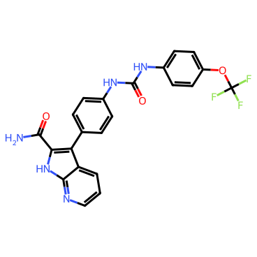 NC(=O)c1[nH]c2ncccc2c1-c1ccc(NC(=O)Nc2ccc(OC(F)(F)F)cc2)cc1